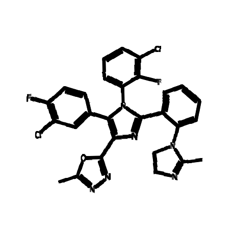 CC1=NCCN1c1ccccc1-c1nc(-c2nnc(C)o2)c(-c2ccc(F)c(Cl)c2)n1-c1cccc(Cl)c1F